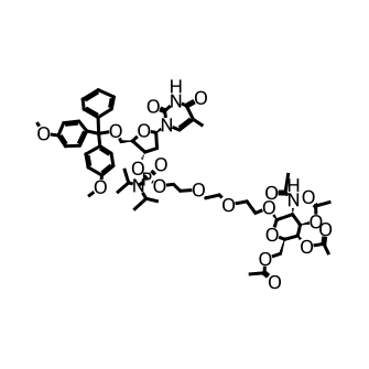 COc1ccc(C(OC[C@H]2O[C@@H](n3cc(C)c(=O)[nH]c3=O)C[C@@H]2OP(=O)(OCCOCCOCCO[C@@H]2O[C@H](COC(C)=O)[C@H](OC(C)=O)[C@H](OC(C)=O)[C@H]2NC(C)=O)N(C(C)C)C(C)C)(c2ccccc2)c2ccc(OC)cc2)cc1